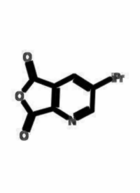 CC(C)c1cnc2c(c1)C(=O)OC2=O